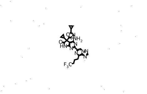 Nc1nc(-c2cn3ncnc3c(CCCC(F)(F)F)n2)nc2c1C(c1nnc(C3CC3)o1)(C1CC1)C(=O)N2